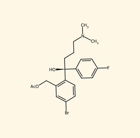 CC(=O)OCc1cc(Br)ccc1[C@](O)(CCCN(C)C)c1ccc(F)cc1